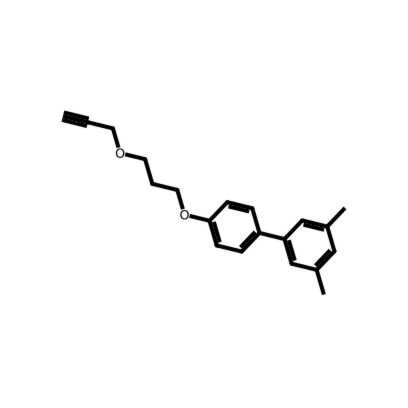 C#CCOCCCOc1ccc(-c2cc(C)cc(C)c2)cc1